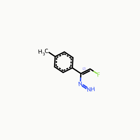 Cc1ccc(/C(=C/F)N=N)cc1